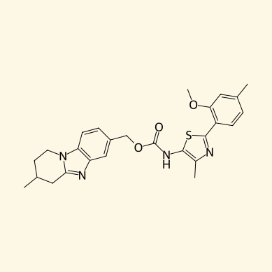 COc1cc(C)ccc1-c1nc(C)c(NC(=O)OCc2ccc3c(c2)nc2n3CCC(C)C2)s1